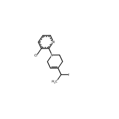 CC(I)C1=CCN(c2ncccc2Cl)CC1